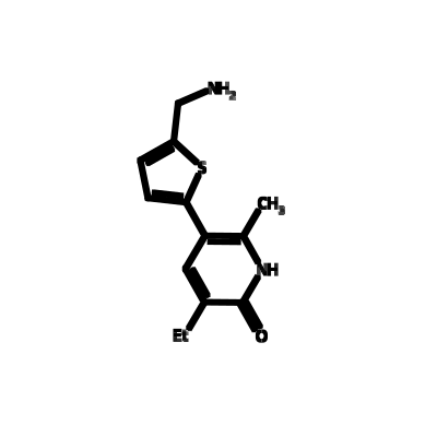 CCc1cc(-c2ccc(CN)s2)c(C)[nH]c1=O